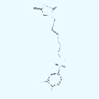 CC(C)COc1cc(S(=O)(=O)NCCC/C=C/CN2CC(=O)NC2=O)ccc1F